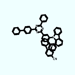 N#Cc1ccc2c3ccccc3n(-c3cccc4c5ccccc5n(-c5cc(-c6nc(-c7ccccc7)nc(-c7ccc(-c8ccccc8)cc7)n6)ccc5-c5ccccc5)c34)c2c1